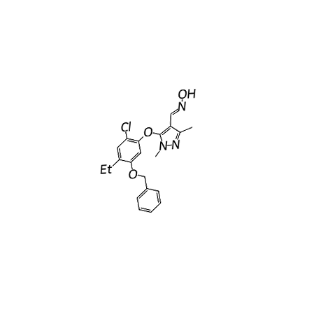 CCc1cc(Cl)c(Oc2c(C=NO)c(C)nn2C)cc1OCc1ccccc1